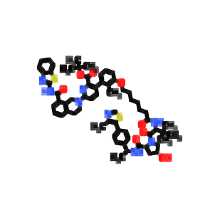 Cc1ncsc1-c1ccc([C@H](C)NC(=O)[C@@H]2C[C@@H](O)CN2C(=O)[C@@H](NC(=O)CCCCCCOc2cccc(-c3ccc(N4CCc5cccc(C(=O)Nc6nc7ccccc7s6)c5C4)nc3C(=O)OC(C)(C)C)c2C)C(C)(C)C)cc1